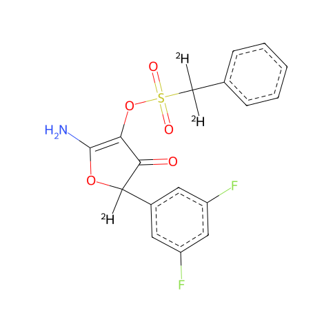 [2H]C1(c2cc(F)cc(F)c2)OC(N)=C(OS(=O)(=O)C([2H])([2H])c2ccccc2)C1=O